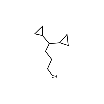 OCCCC(C1CC1)C1CC1